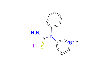 C[n+]1cccc(N(C(N)=S)c2ccccc2)c1.[I-]